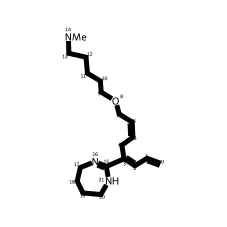 C=C/C=C(\C/C=C\COCCCCCNC)C1=NCCCCN1